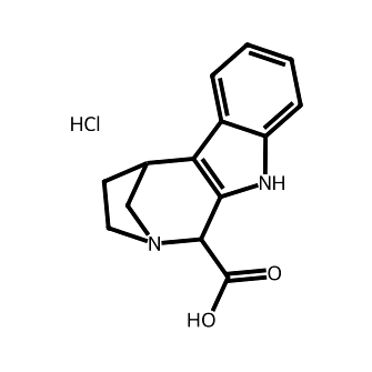 Cl.O=C(O)C1c2[nH]c3ccccc3c2C2CCN1C2